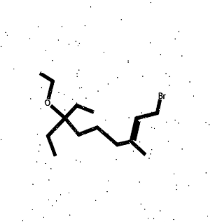 CCOC(CC)(CC)CCCC(C)=CCBr